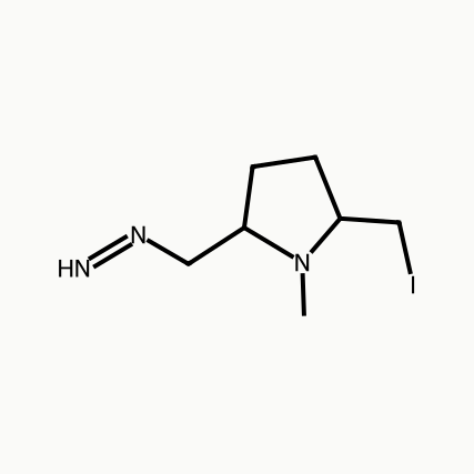 CN1C(CI)CCC1CN=N